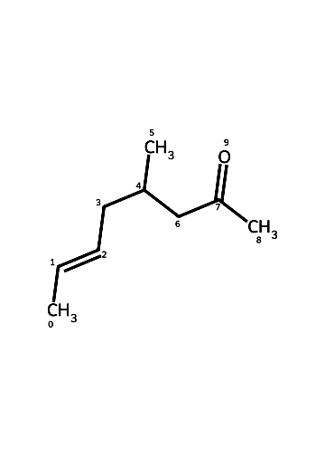 C/C=C/CC(C)CC(C)=O